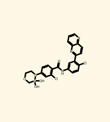 O=C(Nc1ccc(Cl)c(-c2ccc3ncccc3n2)c1)c1ccc(N2CCOCS2(O)O)cc1Cl